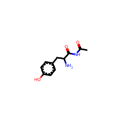 CC(=O)NC(=O)C(N)Cc1ccc(O)cc1